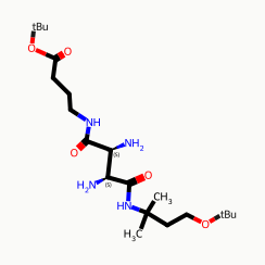 CC(C)(CCOC(C)(C)C)NC(=O)[C@@H](N)[C@H](N)C(=O)NCCCC(=O)OC(C)(C)C